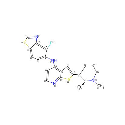 C[C@H]1[C@@H](c2cc3c(Nc4ccc5scnc5c4F)ccnc3s2)CCCN1C